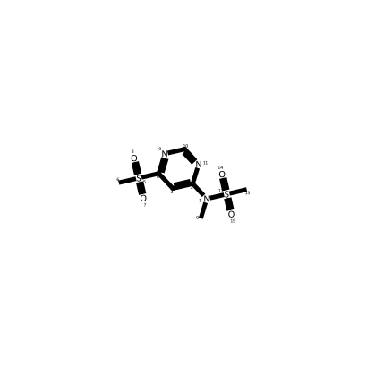 CN(c1cc(S(C)(=O)=O)ncn1)S(C)(=O)=O